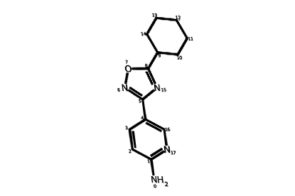 Nc1ccc(-c2noc(C3CC[CH]CC3)n2)cn1